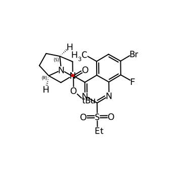 CCS(=O)(=O)c1nc(N2C[C@H]3CC[C@@H](C2)N3C(=O)OC(C)(C)C)c2c(C)cc(Br)c(F)c2n1